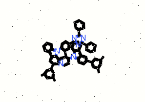 Cc1cc(C)cc(-c2ccc3c(c2)c2ccccc2n3-c2ccncc2-c2cc(-c3nc(-c4ccccc4)nc(-c4ccccc4)n3)ccc2-n2c3ccccc3c3cc(-c4cc(C)cc(C)c4)ccc32)c1